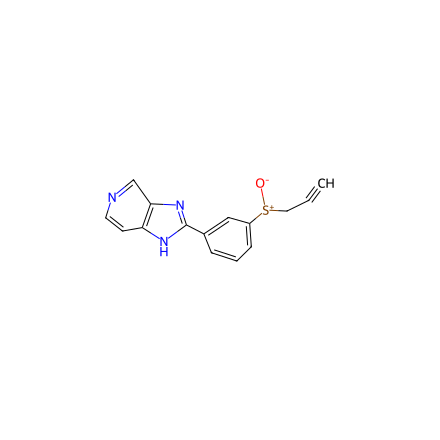 C#CC[S+]([O-])c1cccc(-c2nc3cnccc3[nH]2)c1